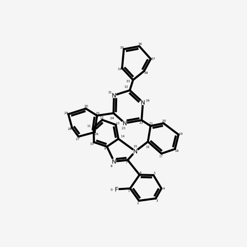 Fc1ccccc1-c1nc2ccccc2n1-c1ccccc1-c1nc(-c2ccccc2)nc(-c2ccccc2)n1